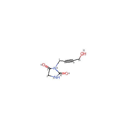 O=C1CNC(=O)N1CC#CCO